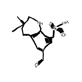 CC1(C)CNc2c(cc(C=O)cc2S(=O)(=O)O)C1